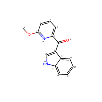 COc1cccc(C(=O)c2c[nH]c3ccccc23)n1